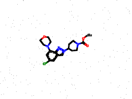 CC(C)(C)OC(=O)N1CCC(n2cc3cc(Cl)cc(N4CCOCC4)c3n2)CC1